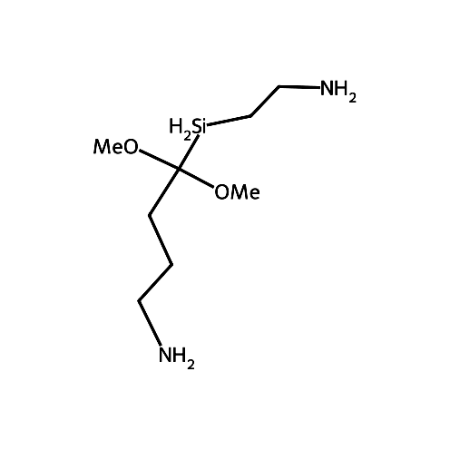 COC(CCCN)(OC)[SiH2]CCN